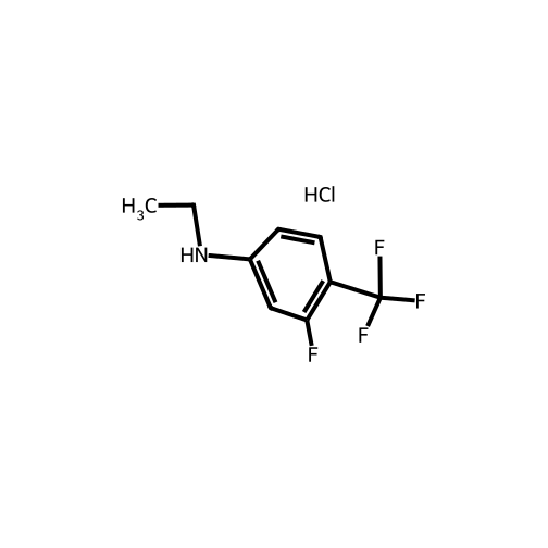 CCNc1ccc(C(F)(F)F)c(F)c1.Cl